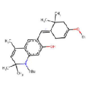 CCCCN1c2cc(O)c(/C=C3\CC=C(OCC)CC3(C)C)cc2C(C)=CC1(C)C